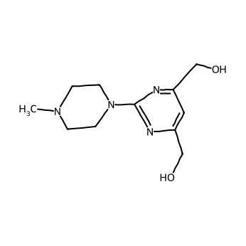 CN1CCN(c2nc(CO)cc(CO)n2)CC1